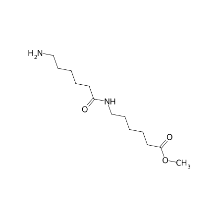 COC(=O)CCCCCNC(=O)CCCCCN